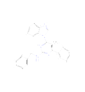 COc1ccccc1-c1cc(-n2cnc3ccccc32)nc(N[C@@H](C)c2ccccc2)n1